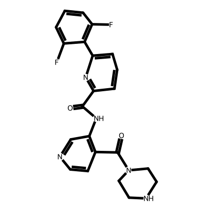 O=C(Nc1cnccc1C(=O)N1CCNCC1)c1cccc(-c2c(F)cccc2F)n1